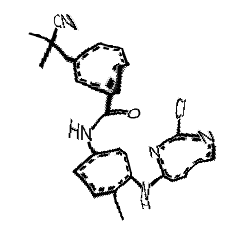 Cc1ccc(NC(=O)c2cccc(C(C)(C)C#N)c2)cc1Nc1ccnc(Cl)n1